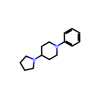 c1ccc(N2CCC(N3CCCC3)CC2)cc1